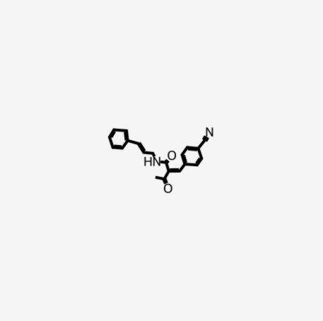 CC(=O)C(=Cc1ccc(C#N)cc1)C(=O)NCC=Cc1ccccc1